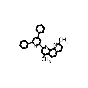 Cc1ccc2ccc3c(C)cc(-c4cc(-c5ccccc5)cc(-c5ccccc5)n4)nc3c2n1